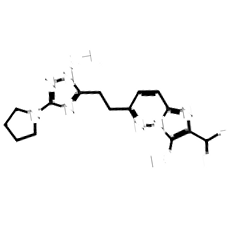 Cc1c(C(F)F)nc2ccc(CCc3nc(N4CCCC4)nn3C)nn12